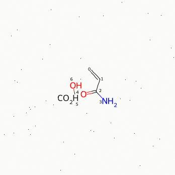 C=CC(N)=O.O=C(O)O